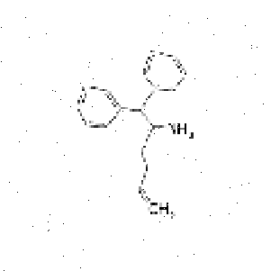 C=CCCC(N)C(c1ccccc1)c1ccccc1